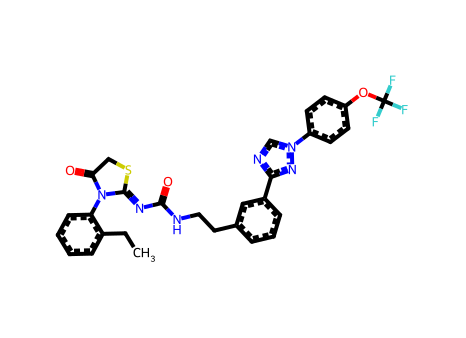 CCc1ccccc1N1C(=O)CS/C1=N\C(=O)NCCc1cccc(-c2ncn(-c3ccc(OC(F)(F)F)cc3)n2)c1